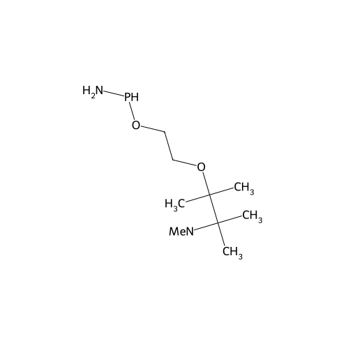 CNC(C)(C)C(C)(C)OCCOPN